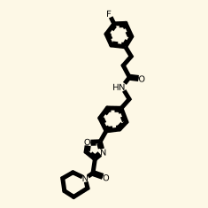 O=C(CCc1ccc(F)cc1)NCc1ccc(-c2nc(C(=O)N3CCCCC3)co2)cc1